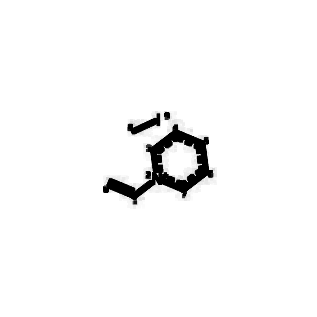 C=C[n+]1ccccc1.CI